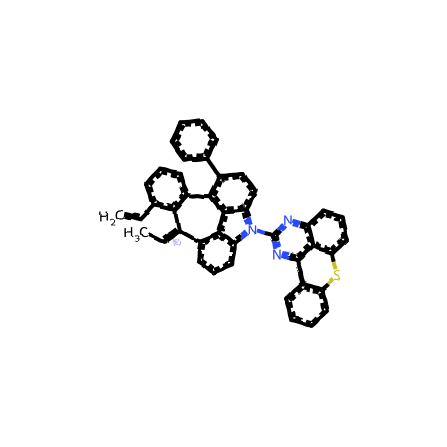 C=Cc1cccc2c1/C(=C\C)c1cccc3c1c1c-2c(-c2ccccc2)ccc1n3-c1nc2c3c(cccc3n1)Sc1ccccc1-2